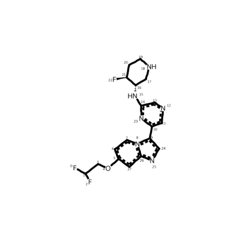 FC(F)COc1ccn2c(-c3cncc(N[C@H]4CNCC[C@@H]4F)n3)cnc2c1